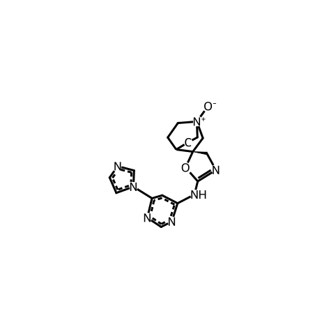 [O-][N+]12CCC(CC1)[C@]1(CN=C(Nc3cc(-n4ccnc4)ncn3)O1)C2